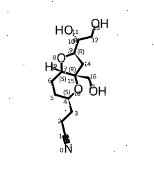 N#CCC[C@H]1CC[C@@H]2O[C@@H]([C@H](O)CO)C[C@]2(CO)O1